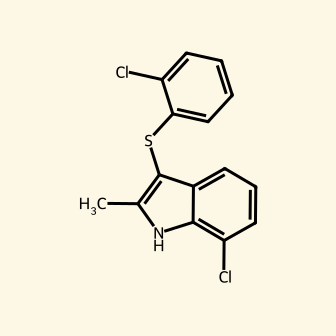 Cc1[nH]c2c(Cl)cccc2c1Sc1ccccc1Cl